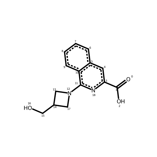 O=C(O)c1cc2ccccc2c(N2CC(CO)C2)n1